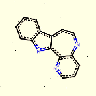 c1ccc2c3ccnc4cccnc4c-3nc2c1